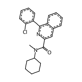 CN(C(=O)c1cc2ccccc2c(-c2ccccc2Cl)n1)C1CCCCC1